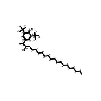 CCCCCCCCCCCCCCCCCCC(C)C(C)c1cc(C(C)(C)C)c(O)c(C(C)(C)C)c1